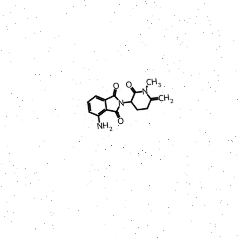 C=C1CCC(N2C(=O)c3cccc(N)c3C2=O)C(=O)N1C